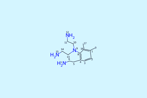 Cc1ccc(CCN)c(N(CCN)CCN)c1C